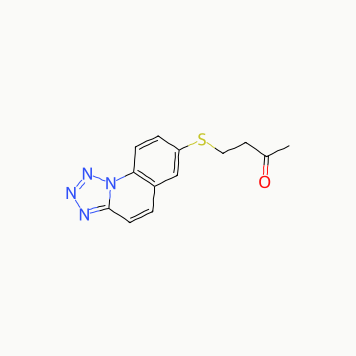 CC(=O)CCSc1ccc2c(ccc3nnnn32)c1